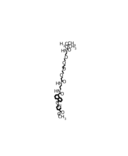 COC(=O)c1ccc(Oc2cccc3c(C(=O)NCCCNC(=O)CCOCCOCCOCCOCCNC(=O)OC(C)(C)C)cccc23)nc1